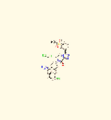 CS(=O)(=O)c1cccc(-c2nnc3n2CCN(C2CCC(CN)(c4cccc(Cl)c4)CC2)C3=O)c1.Cl.Cl